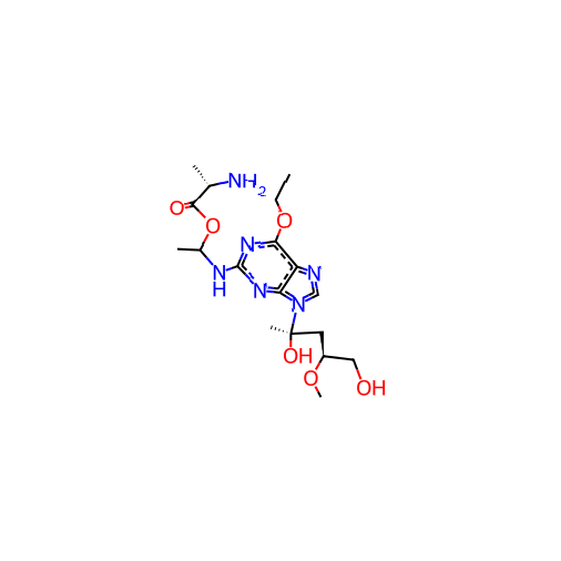 CCOc1nc(NC(C)OC(=O)[C@H](C)N)nc2c1ncn2[C@](C)(O)C[C@@H](CO)OC